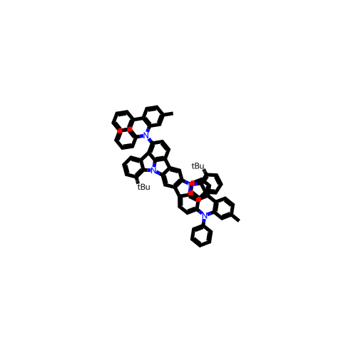 Cc1ccc(-c2ccccc2)c(N(c2ccccc2)c2ccc3c4cc5c(cc4n4c6c(C(C)(C)C)cccc6c2c34)c2ccc(N(c3ccccc3)c3cc(C)ccc3-c3ccccc3)c3c4cccc(C(C)(C)C)c4n5c23)c1